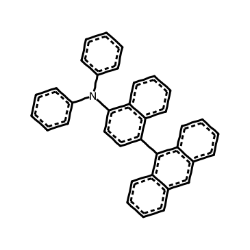 c1ccc(N(c2ccccc2)c2ccc(-c3c4ccccc4cc4ccccc34)c3ccccc23)cc1